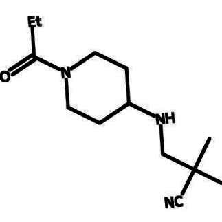 CCC(=O)N1CCC(NCC(C)(C)C#N)CC1